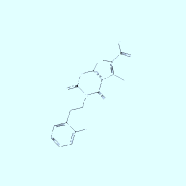 Cc1c(C(=O)O)sc2[nH]c(=O)n(CCc3ccccc3F)c(=O)c12